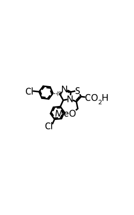 COCC1=C(C(=O)O)SC2=N[C@@H](c3ccc(Cl)cc3)C(c3ccc(Cl)cc3)N21